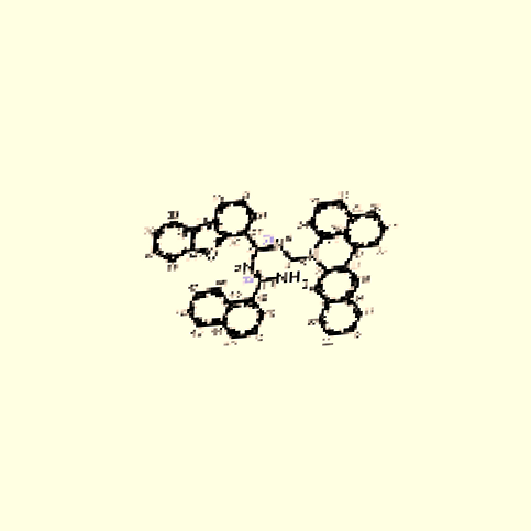 N/C(=N\C(=N/CN1c2cc3ccccc3cc2-c2cccc3cccc1c23)c1cccc2c1oc1ccccc12)c1cccc2ccccc12